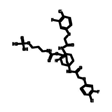 O=C(COc1ccc(Cl)c(F)c1)NC12CCC(NC(=O)COc3ccc(Cl)c(F)c3)(CC1)[C@H](OC(=O)NCCCOP(=O)(O)O)C2